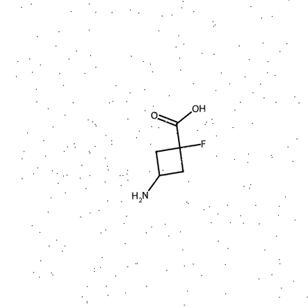 NC1CC(F)(C(=O)O)C1